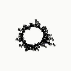 C/C=C/C[C@@H](C)[C@@H](O)[C@H]1C(=O)N[C@@H](CC)C(=O)N(C)CC(=O)N(C)CC(=O)N[C@@H](C(C)C)C(=O)N(C)CC(=O)N[C@@H](C)C(=O)N[C@H](C)C(=O)N(C)[C@@H](CC(C)C)C(=O)N(C)[C@@H](CC(C)C)C(=O)N(C)[C@@H](C(C)C)C(=O)N1C